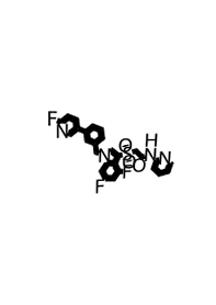 O=C(CS(=O)(=O)c1cn(Cc2cccc(-c3ccc(F)nc3)c2)c2cc(F)cc(F)c12)Nc1ccccn1